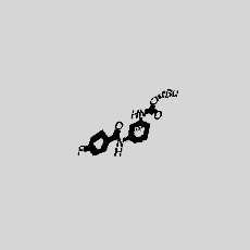 CC(C)(C)OC(=O)N[C@H]1CCC[C@@H](NC(=O)c2ccc(F)cc2)C1